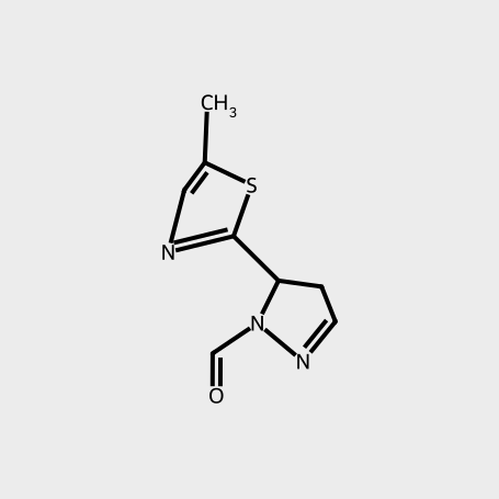 Cc1cnc(C2CC=NN2C=O)s1